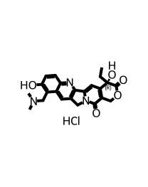 CC[C@]1(O)C(=O)OCc2c1cc1n(c2=O)Cc2cc3c(CN(C)C)c(O)ccc3nc2-1.Cl